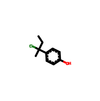 CCC(C)(Cl)c1ccc(O)cc1